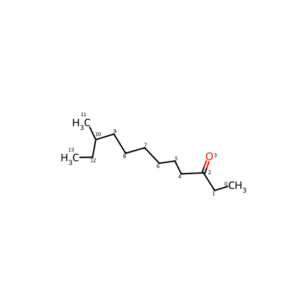 CCC(=O)CCCCCCC(C)CC